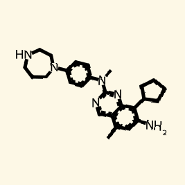 Cc1cc(N)c(C2CCCC2)c2nc(N(C)c3ccc(N4CCCNCC4)cc3)ncc12